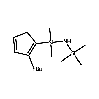 CCCCC1=C([Si](C)(C)N[Si](C)(C)C)CC=C1